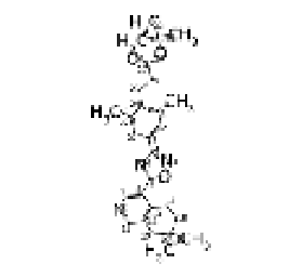 Cc1cc(-c2noc(-c3cncc4c3CCC(C)(C)C4)n2)cc(C)c1CCC(=O)OC(C)(C)C